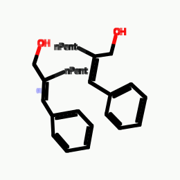 CCCCC/C(=C\c1ccccc1)CO.CCCCCC(=Cc1ccccc1)CO